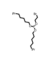 CC(C)CCCCCOP(OCCBr)OCCCCCC(C)C